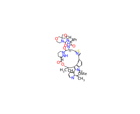 CCn1c(-c2cccnc2[C@H](C)OC)c2c3cc(ccc31)-c1csc(n1)C[C@H](NC(=O)[C@H](C(C)C)N(C)C(=O)N1CCOCC13COC3)C(=O)N1CCC[C@H](N1)C(=O)OCC(C)(C)C2